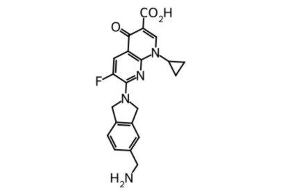 NCc1ccc2c(c1)CN(c1nc3c(cc1F)c(=O)c(C(=O)O)cn3C1CC1)C2